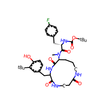 CN(C(=O)[C@H](Cc1ccc(F)cc1)NC(=O)OC(C)(C)C)[C@H]1CCCNC(=O)CCNC(=O)C(Cc2ccc(O)c(C(C)(C)C)c2)NC1=O